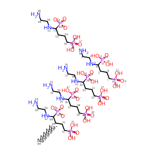 NCCNC(CCCP(=O)(O)O)P(=O)(O)O.NCCNC(CCCP(=O)(O)O)P(=O)(O)O.NCCNC(CCCP(=O)(O)O)P(=O)([O-])O.NCCNC(CCCP(=O)(O)O)P(=O)([O-])[O-].NCCNC(CCCP(=O)(O)O)P(=O)([O-])[O-].[Na+].[Na+].[Na+].[Na+].[Na+]